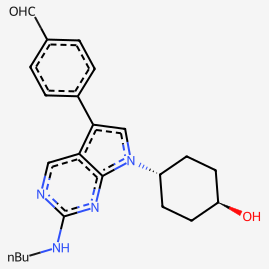 CCCCNc1ncc2c(-c3ccc(C=O)cc3)cn([C@H]3CC[C@H](O)CC3)c2n1